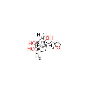 C[C@@H]1C[C@@H](O)[C@H]2[C@@](C)(CO)CCC[C@]2(C)[C@@]1(O)CCc1ccoc1